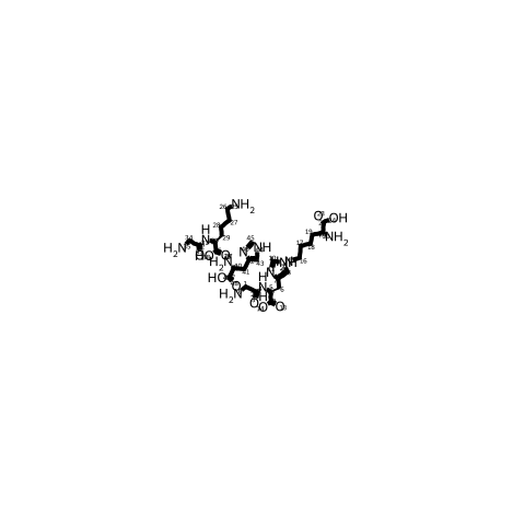 NCC(=O)N[C@@H](Cc1c[nH]cn1)C(=O)O.NCCCC[C@H](N)C(=O)O.NCCCC[C@H](NC(=O)CN)C(=O)O.N[C@@H](Cc1c[nH]cn1)C(=O)O